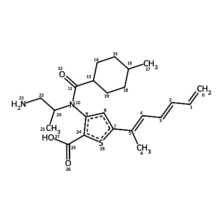 C=CC=CC=C(C)c1cc(N(C(=O)C2CCC(C)CC2)C(C)CN)c(C(=O)O)s1